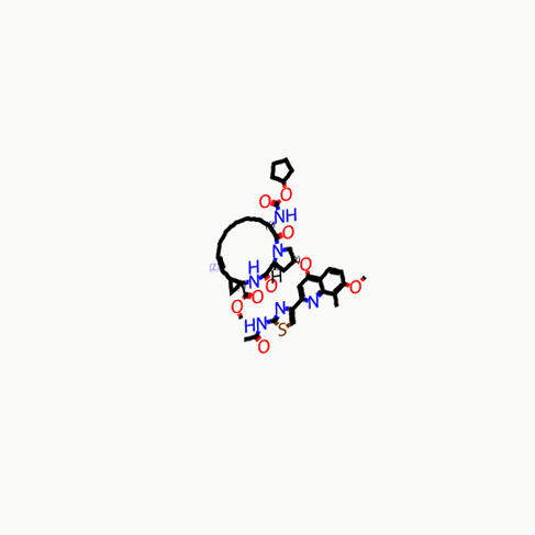 COC(=O)[C@@]12CC1/C=C\CCCCC[C@H](NC(=O)OC1CCCC1)C(=O)N1C[C@H](Oc3cc(-c4csc(NC(C)=O)n4)nc4c(C)c(OC)ccc34)C[C@H]1C(=O)N2